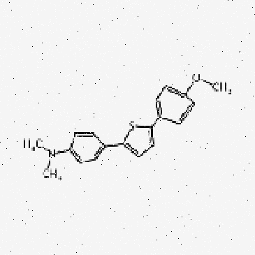 COc1ccc(-c2ccc(-c3ccc(N(C)C)cc3)s2)cc1